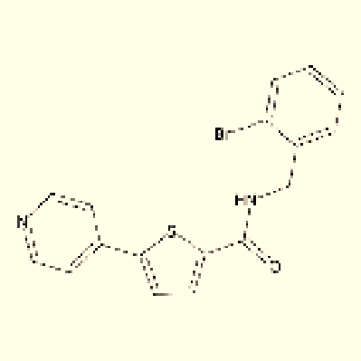 O=C(NCc1ccccc1Br)c1ccc(-c2ccncc2)s1